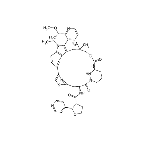 CCn1c(-c2cccnc2[C@H](C)OC)c2c3cc(ccc31)-c1csc(n1)C[C@H](NC(=O)[C@@H]1CCO[C@H]1c1ccncc1)C(=O)N1CCC[C@H](N1)C(=O)OCC(C)(C)C2